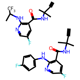 C#CC(C)(C)NC(=O)c1cc(F)cnc1NC(C)C(F)(F)F.C#CC(C)(C)NC(=O)c1cc(F)cnc1Nc1ccc(F)cc1